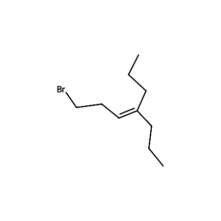 CCCC(=CCCBr)CCC